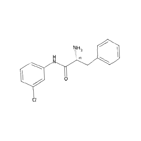 N[C@H](Cc1ccccc1)C(=O)Nc1cccc(Cl)c1